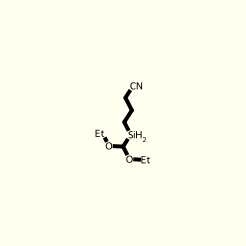 CCOC(OCC)[SiH2]CCCC#N